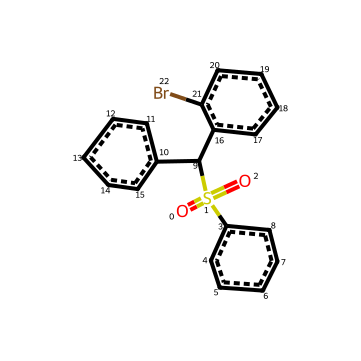 O=S(=O)(c1ccccc1)C(c1ccccc1)c1ccccc1Br